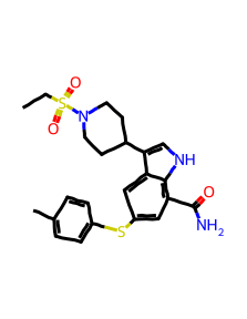 CCS(=O)(=O)N1CCC(c2c[nH]c3c(C(N)=O)cc(Sc4ccc(C)cc4)cc23)CC1